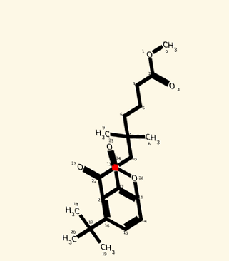 COC(=O)CCCC(C)(C)COc1c2ccc(C(C)(C)C)c1C(=O)C(=O)O2